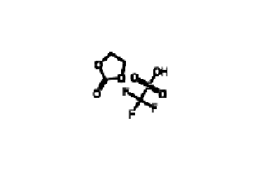 O=C1OCCO1.O=S(=O)(O)C(F)(F)F